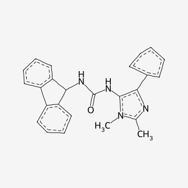 Cc1nc(-c2ccccc2)c(NC(=O)NC2c3ccccc3-c3ccccc32)n1C